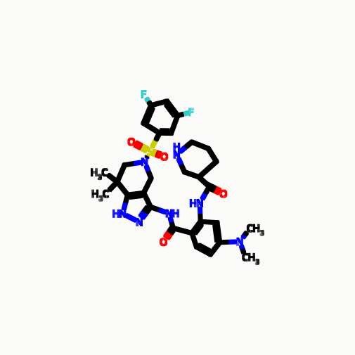 CN(C)c1ccc(C(=O)Nc2n[nH]c3c2CN(S(=O)(=O)c2cc(F)cc(F)c2)CC3(C)C)c(NC(=O)C2CCCNC2)c1